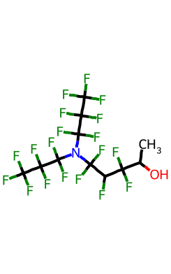 CC(O)C(F)(F)C(F)C(F)(F)N(C(F)(F)C(F)(F)C(F)(F)F)C(F)(F)C(F)(F)C(F)(F)F